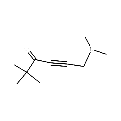 CN(C)CC#CC(=O)C(C)(C)C